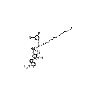 CCCCCCCCCCCCCCCCOC[C@H](COP(=O)(O)O[C@H]1O[C@@](C)(c2ccc3c(N)ncnn23)[C@H](O)[C@@H]1O)OCc1cc(F)cc(C#N)c1